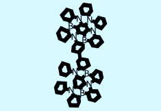 c1ccc(N2c3ccccc3B3c4ccccc4N4c5ccccc5B5c6ccc(-c7ccc8c(c7)B7c9ccccc9N9c%10ccccc%10N%10c%11ccccc%11N%11c%12ccccc%12B%12c%13ccccc%13N8c8c%12c%11c%10c9c87)cc6N(c6ccccc6)c6cc2c3c4c65)cc1